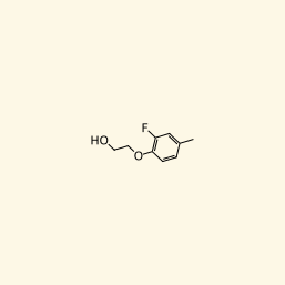 Cc1ccc(OCCO)c(F)c1